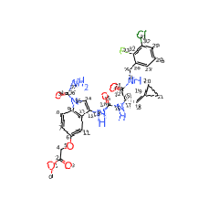 COC(=O)COc1ccc2c(c1)c(NC(=O)N[C@@H](CC1CC1)C(=O)NCc1cccc(Cl)c1F)cn2C(N)=O